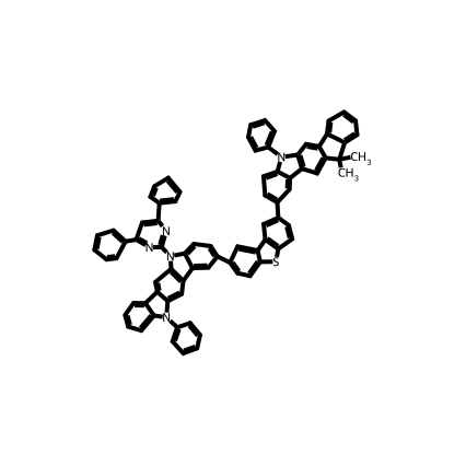 CC1(C)c2ccccc2-c2cc3c(cc21)c1cc(-c2ccc4sc5ccc(-c6ccc7c(c6)c6cc8c(cc6n7-c6nc(-c7ccccc7)cc(-c7ccccc7)n6)c6ccccc6n8-c6ccccc6)cc5c4c2)ccc1n3-c1ccccc1